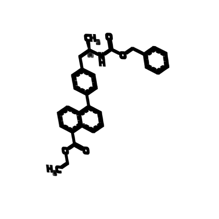 CCOC(=O)c1cccc2c(-c3ccc(C[C@@H](C)NC(=O)OCc4ccccc4)cc3)cccc12